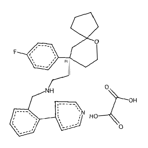 Fc1ccc([C@]2(CCNCc3ccccc3-c3ccncc3)CCOC3(CCCC3)C2)cc1.O=C(O)C(=O)O